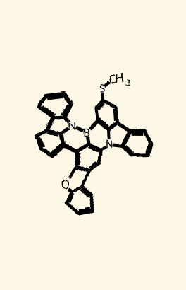 CSc1cc2c3c(c1)c1ccccc1n3-c1cc3c(oc4ccccc43)c3c1B2n1c2ccccc2c2cccc-3c21